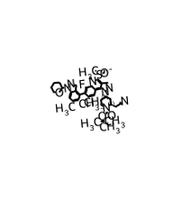 Cc1cc2c(cnn2C2CCCCO2)c(-c2c(C)cc3c(nc([S+](C)[O-])c4cnn([C@H]5CCN(C(=O)OC(C)(C)C)[C@H](CC#N)C5)c43)c2F)c1C